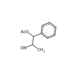 CC(=O)OC(c1ccccc1)C(C)N=O